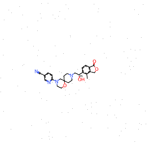 Cc1c([C@@H](O)CN2CCC3(CC2)CN(c2ccc(C#N)cn2)CCO3)ccc2c1COC2=O